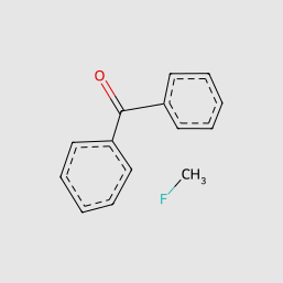 CF.O=C(c1ccccc1)c1ccccc1